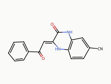 N#Cc1ccc2c(c1)NC(=O)C(=CC(=O)c1ccccc1)N2